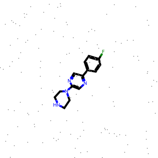 Fc1ccc(-c2cnc(N3CCNCC3)cn2)cc1